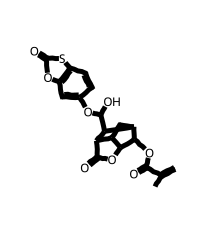 C=C(C)C(=O)OC1C2CC3C1OC(=O)C3C2C(O)Oc1ccc2sc(=O)oc2c1